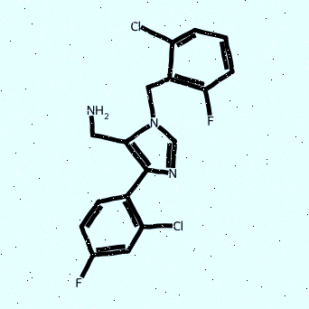 NCc1c(-c2ccc(F)cc2Cl)ncn1Cc1c(F)cccc1Cl